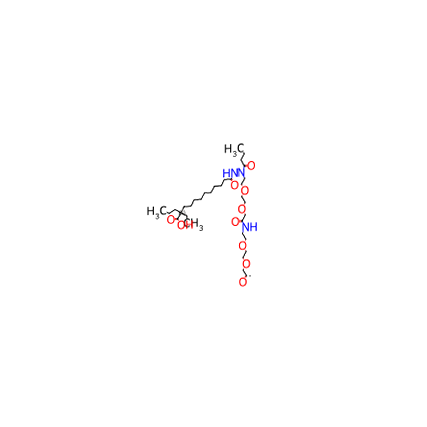 CCCC(=O)N(CCOCCOCC(=O)NCCOCCOC[C]=O)NC(=O)CCCCCCCCC[C@](CC)(CCC)C(=O)O